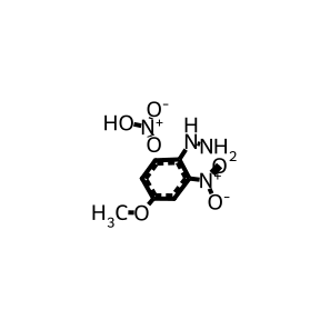 COc1ccc(NN)c([N+](=O)[O-])c1.O=[N+]([O-])O